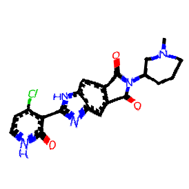 CN1CCCC(N2C(=O)c3cc4nc(-c5c(Cl)cc[nH]c5=O)[nH]c4cc3C2=O)C1